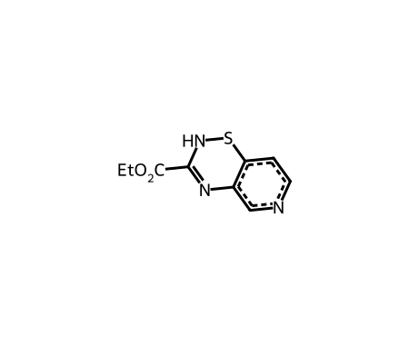 CCOC(=O)C1=Nc2cnccc2SN1